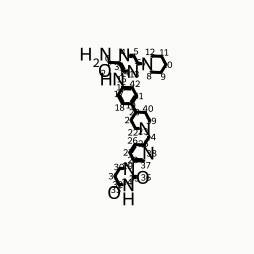 NC(=O)c1ncc(N2CCCCC2)nc1Nc1ccc(C2CCN(Cc3ccc(N4CCC(=O)NC4=O)cn3)CC2)cc1